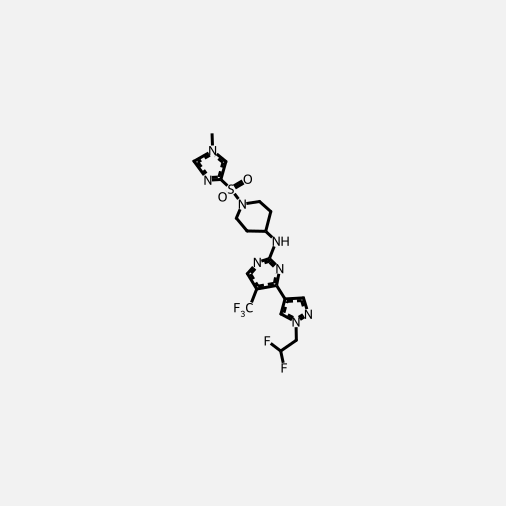 Cn1cnc(S(=O)(=O)N2CCC(Nc3ncc(C(F)(F)F)c(-c4cnn(CC(F)F)c4)n3)CC2)c1